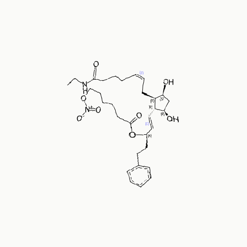 CCNC(=O)CCC/C=C\C[C@@H]1[C@@H](/C=C/[C@@H](CCc2ccccc2)OC(=O)CCCCCO[N+](=O)[O-])[C@H](O)C[C@@H]1O